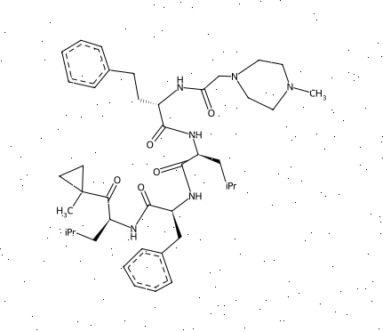 CC(C)C[C@H](NC(=O)[C@H](CCc1ccccc1)NC(=O)CN1CCN(C)CC1)C(=O)N[C@@H](Cc1ccccc1)C(=O)N[C@@H](CC(C)C)C(=O)C1(C)CC1